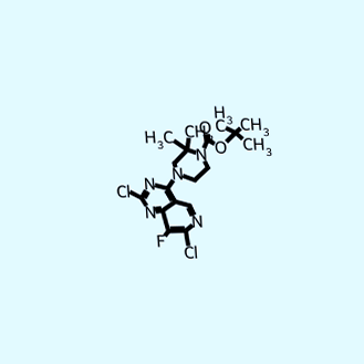 CC(C)(C)OC(=O)N1CCN(c2nc(Cl)nc3c(F)c(Cl)ncc23)CC1(C)C